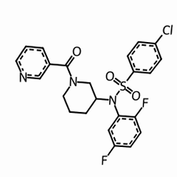 O=C(c1cccnc1)N1CCCC(N(c2cc(F)ccc2F)S(=O)(=O)c2ccc(Cl)cc2)C1